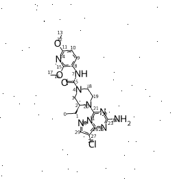 CC[C@H]1CN(C(=O)Nc2ccc(OC)nc2OC)CCN1c1nc(N)nc2c(Cl)cnn12